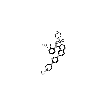 CN1CCN(c2ccc(-c3ccc4ncc(S(=O)(=O)N5CCOCC5)c(Nc5ccccc5C(=O)O)c4c3)cn2)CC1